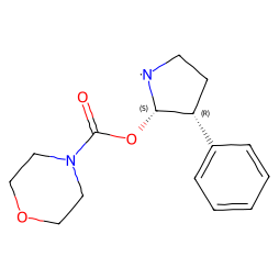 O=C(O[C@@H]1[N]CC[C@@H]1c1ccccc1)N1CCOCC1